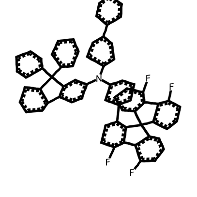 Fc1cccc2c1-c1c(F)cccc1C21c2cccc(F)c2-c2c(F)ccc(-c3cccc(N(c4ccc(-c5ccccc5)cc4)c4ccc5c(c4)C(c4ccccc4)(c4ccccc4)c4ccccc4-5)c3)c21